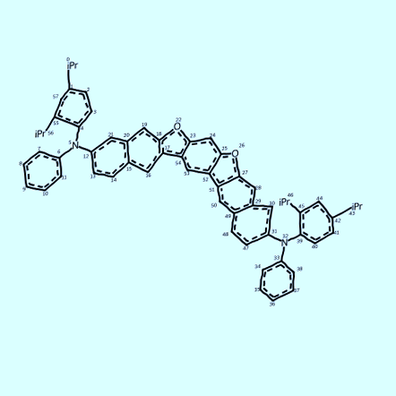 CC(C)c1ccc(N(c2ccccc2)c2ccc3cc4c(cc3c2)oc2cc3oc5cc6cc(N(c7ccccc7)c7ccc(C(C)C)cc7C(C)C)ccc6cc5c3cc24)c(C(C)C)c1